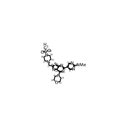 CNc1ncc(-c2nc(N3CCOCC3)c3nc(CN4CCN(S(C)(=O)=O)CC4)sc3n2)cn1